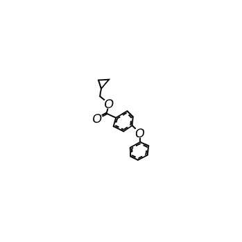 O=C(OCC1CC1)c1ccc(Oc2ccccc2)cc1